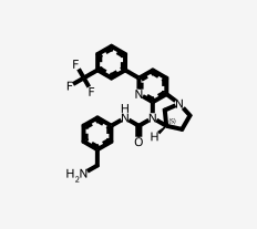 NCc1cccc(NC(=O)N2c3nc(-c4cccc(C(F)(F)F)c4)ccc3N3CC[C@H]2C3)c1